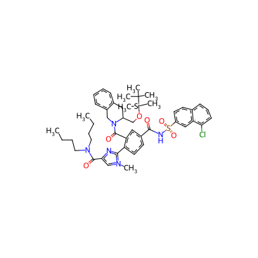 CCCCN(CCCC)C(=O)c1cn(C)c(-c2ccc(C(=O)NS(=O)(=O)c3ccc4cccc(Cl)c4c3)cc2C(=O)N2Cc3ccccc3CC2CO[Si](C)(C)C(C)(C)C)n1